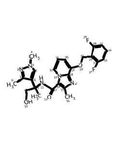 Cc1nn(C)cc1C(C)(CO)NC(=O)c1c(C)nc2c(OCc3c(F)cccc3F)cccn12